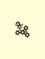 Cc1nc(-n2c3ccccc3c3cc4c5ccccc5n5c6ccccc6c(c32)c45)nc2ncccc12